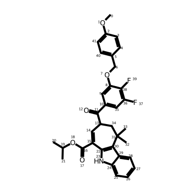 COc1ccc(COc2cc(C(=O)C3C=C(C(=O)OC(C)C)c4[nH]c5ccccc5c4C(C)(C)C3)cc(F)c2F)cc1